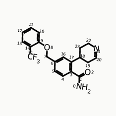 NC(=O)c1ccc(COc2ccccc2C(F)(F)F)cc1C1CC=NCC1